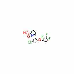 O=C(O)c1cccc(Cc2cc(Cl)ccc2OCc2ccc(F)c(F)c2F)n1